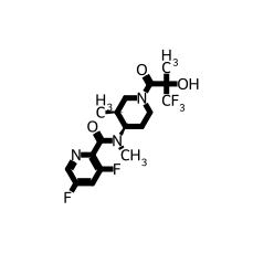 C[C@H]1CN(C(=O)C(C)(O)C(F)(F)F)CC[C@H]1N(C)C(=O)c1ncc(F)cc1F